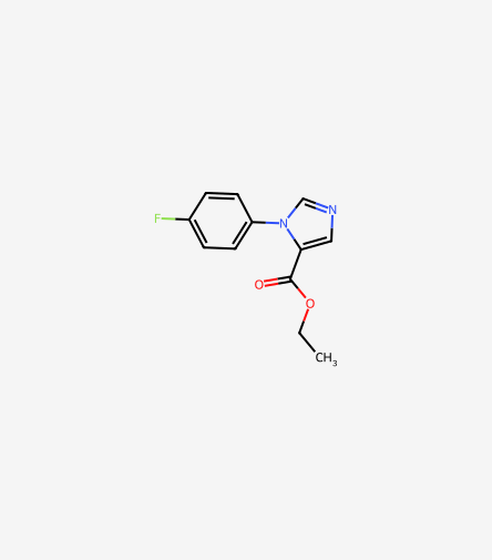 CCOC(=O)c1cncn1-c1ccc(F)cc1